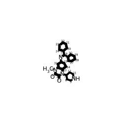 Cn1c(=O)c(=O)n(C2CCNCC2)c2ccc(N=C(c3ccccc3)c3ccccc3)cc21